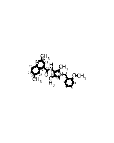 COc1ccccc1Cn1nc(C)c(NC(=O)c2cc(C)nc3ccc(C)cc23)c1C